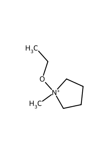 CCO[N+]1(C)CCCC1